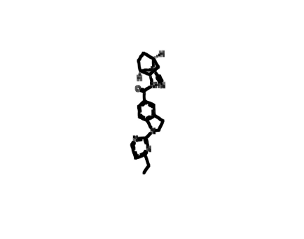 CCc1ccnc(N2CCc3cc(C(=O)N[C@@H]4C[C@@H]5CC[C@H]4N5C#N)ccc32)n1